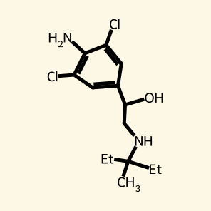 CCC(C)(CC)NCC(O)c1cc(Cl)c(N)c(Cl)c1